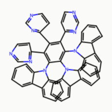 c1ccc2c(c1)c1ccccc1n2-c1c(-c2ccncn2)c(-c2ccncn2)c(-c2ccncn2)c(-n2c3ccccc3c3ccccc32)c1-n1c2ccccc2c2ccccc21